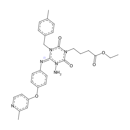 CCOC(=O)CCCn1c(=O)n(N)/c(=N\c2ccc(Oc3ccnc(C)c3)cc2)n(Cc2ccc(C)cc2)c1=O